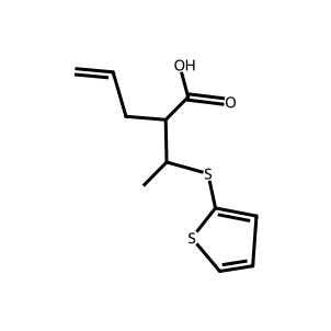 C=CCC(C(=O)O)C(C)Sc1cccs1